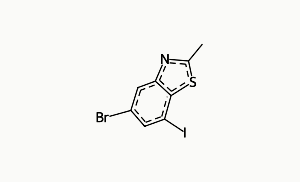 Cc1nc2cc(Br)cc(I)c2s1